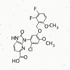 COc1cc(Cl)c(-n2c(=O)[nH]c3ccc(C(=O)O)nc32)cc1OCc1c(OC)ccc(F)c1F